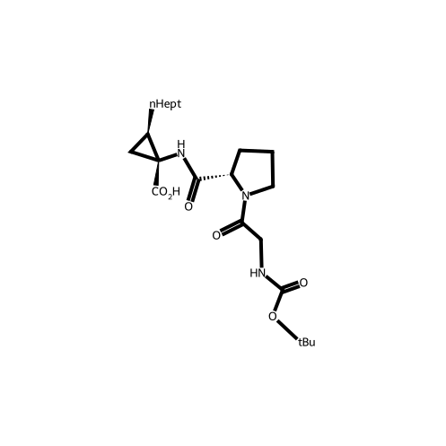 CCCCCCC[C@@H]1C[C@]1(NC(=O)[C@@H]1CCCN1C(=O)CNC(=O)OC(C)(C)C)C(=O)O